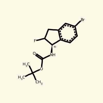 CC(C)(C)OC(=O)N[C@@H]1c2ccc(Br)cc2CC1F